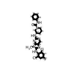 Cn1c(Nc2c(Cl)cc(F)cc2Cl)nc2cnc(N[C@@H]3CCCN(C(=O)Nc4ccccc4)C3)nc21